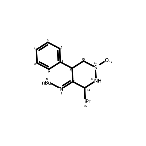 CCCCN=C1C(c2ccccc2)C[S+]([O-])NC1C(C)C